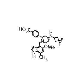 COc1cc(C)c2[nH]ccc2c1CN1CC[C@H](NC2CC(F)(F)C2)C[C@H]1c1ccc(C(=O)O)cc1